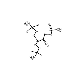 CC(C)(N)CCN(CCC(C)(C)N)C(=O)CCC(=O)O